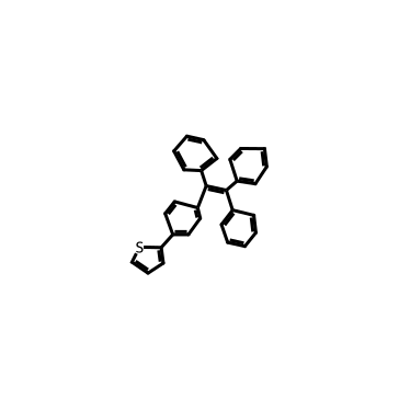 c1ccc(C(=C(c2ccccc2)c2ccc(-c3cccs3)cc2)c2ccccc2)cc1